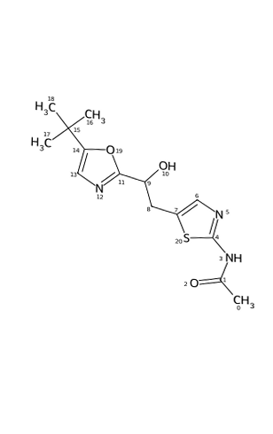 CC(=O)Nc1ncc(CC(O)c2ncc(C(C)(C)C)o2)s1